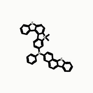 C[Si]1(C)c2cc(N(c3ccccc3)c3ccc4c(ccc5c6ccccc6sc45)c3)ccc2-c2c1ccc1sc3ccccc3c21